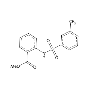 COC(=O)c1ccccc1NS(=O)(=O)c1cccc(C(F)(F)F)c1